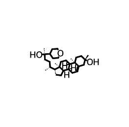 C[C@H](CC[C@@](C)(O)C1CCOCC1)[C@H]1CC[C@H]2[C@@H]3CC=C4C[C@@](C)(O)CC[C@]4(C)[C@H]3CC[C@]12C